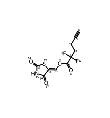 C#CCCC(F)(F)C(=O)O/C=C1\SC(=O)NC1=O